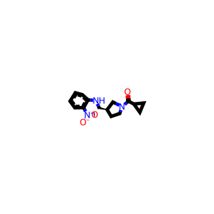 O=C(C1CC1)N1CC[C@@H](CNc2ccccc2[N+](=O)[O-])C1